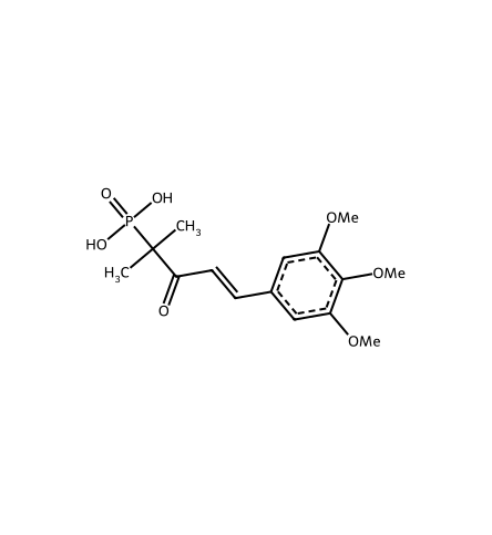 COc1cc(C=CC(=O)C(C)(C)P(=O)(O)O)cc(OC)c1OC